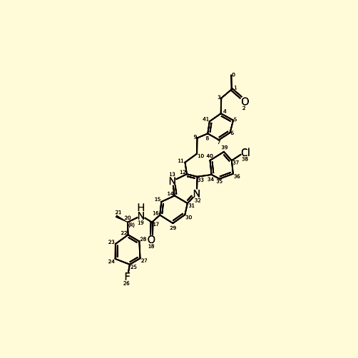 CC(=O)Cc1cccc(CCCc2nc3cc(C(=O)N[C@H](C)c4ccc(F)cc4)ccc3nc2-c2ccc(Cl)cc2)c1